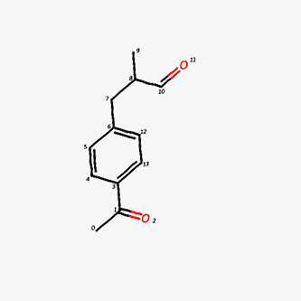 CC(=O)c1ccc(CC(C)C=O)cc1